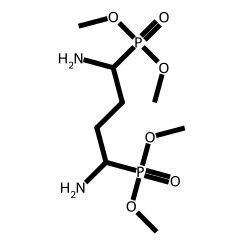 COP(=O)(OC)C(N)CCC(N)P(=O)(OC)OC